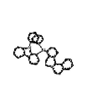 c1ccc(N(c2cccc3c2ccc2ccc4ccccc4c23)c2cccc3c4ccccc4n(-c4ccccc4)c23)cc1